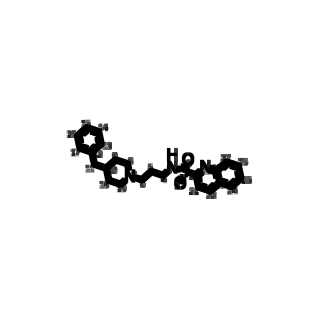 O=S(=O)(NCCCN1CCC(Cc2ccccc2)CC1)c1ccc2ccccc2n1